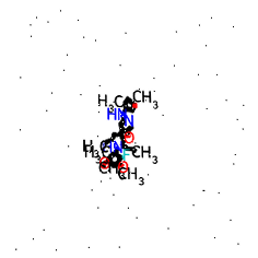 CC/C=C(/Nc1c(C)c(OC)cc(OC)c1F)c1oc2cnc(Nc3ccc(C)cc3C)cc2c1CCCC